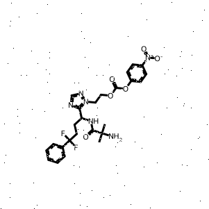 CC(C)(N)C(=O)NC(CCC(F)(F)c1ccccc1)c1ncnn1CCOC(=O)Oc1ccc([N+](=O)[O-])cc1